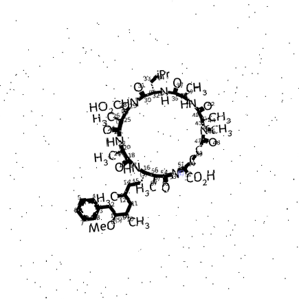 CO[C@@H](Cc1ccccc1)[C@@H](C)CC(C)CC[C@@H]1NC(=O)[C@@H](C)NC(=O)[C@@H](C)[C@H](C(=O)O)NC(=O)[C@H](CC(C)C)NC(=O)[C@@H](C)NC(=O)[C@H](C)N(C)C(=O)CC/C(C(=O)O)=N\C(=O)[C@H]1C